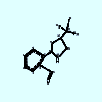 O=Cc1ccccc1C1CC(C(F)(F)F)CN1